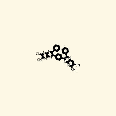 [C-]#[N+]c1nc2nc(-c3ccccc3)c(-c3ccc(-c4nc5nc(C#N)c(C#N)cc5nc4-c4ccccc4)cc3)nc2nc1[N+]#[C-]